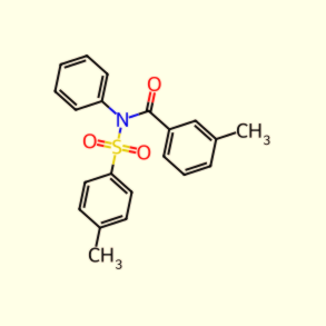 Cc1ccc(S(=O)(=O)N(C(=O)c2cccc(C)c2)c2ccccc2)cc1